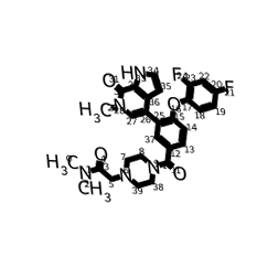 CN(C)C(=O)CN1CCN(C(=O)c2ccc(Oc3ccc(F)cc3F)c(-c3cn(C)c(=O)c4[nH]ccc34)c2)CC1